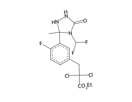 CCOC(=O)C(Cl)(Cl)Cc1ccc(F)c(C2(C)NNC(=O)N2C(F)F)c1